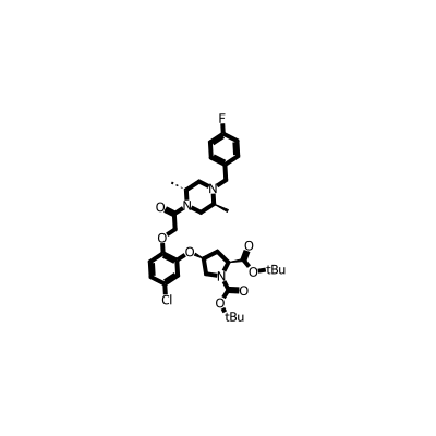 C[C@@H]1CN(Cc2ccc(F)cc2)[C@@H](C)CN1C(=O)COc1ccc(Cl)cc1O[C@H]1C[C@@H](C(=O)OC(C)(C)C)N(C(=O)OC(C)(C)C)C1